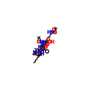 CCCCCC[C@@H](OC[C@@H](C)N)[C@@H](C)C(=O)N(C)[C@@H](CC(C)C)C(=O)N[C@H](C(=O)N[C@@H](CNC(=O)CC(C)(C)C)C(=O)N[C@@H](COCCCCNC(=O)OC(C)(C)C)C(=O)O)C1CCCCC1